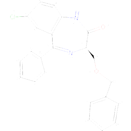 O=C1Nc2ccc(Cl)cc2C(c2ccccc2)=N[C@@H]1COCc1ccccc1